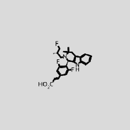 C[C@H](CF)CN1[C@H](c2c(F)cc(C=CC(=O)O)cc2F)c2[nH]c3ccccc3c2CC1(C)C